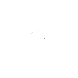 CCOC(=O)/C=C\C(=O)O[Si](CC)(CC)CC